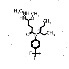 CC/C=C(\CC)N(C(=O)CCC(NNC)OC)c1ccc(C(F)(F)F)cc1